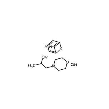 CC(O)CN1CCOCC1.Cl.Nc1c2cccc1S2